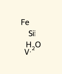 O.[Fe].[Si].[V]